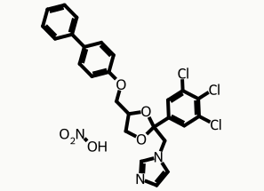 Clc1cc(C2(Cn3ccnc3)OCC(COc3ccc(-c4ccccc4)cc3)O2)cc(Cl)c1Cl.O=[N+]([O-])O